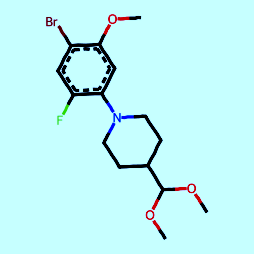 COc1cc(N2CCC(C(OC)OC)CC2)c(F)cc1Br